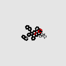 CC1(C)c2ccccc2-c2ccc(-c3ccccc3-c3c4ccc(N5CCCc6ccccc65)cc4c(-c4ccc5ccccc5c4)c4ccc(N5CCCc6ccccc65)cc34)cc21